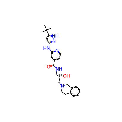 CC(C)(C)c1cc(Nc2cc(C(=O)NC[C@H](O)CN3CCc4ccccc4C3)ccn2)n[nH]1